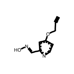 C#CCOc1ccnc(C=NO)c1